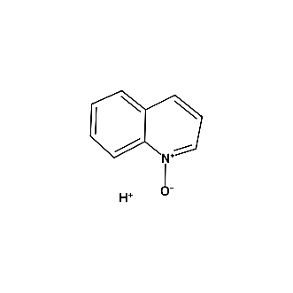 [H+].[O-][n+]1cccc2ccccc21